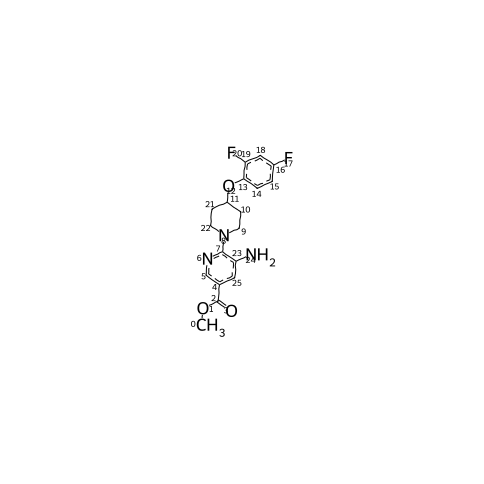 COC(=O)c1cnc(N2CCC(Oc3ccc(F)cc3F)CC2)c(N)c1